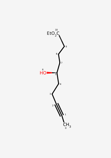 CC#CCC[C@@H](O)CCCC(=O)OCC